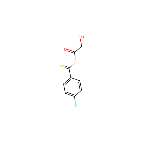 O=C(CO)SC(=S)c1ccc(F)cc1